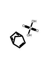 C1=CC2=CC=C1C2.O=S(=O)(O)O